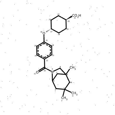 CC1(C)CC2CC(C)(CN2C(=O)c2ccc(O[C@H]3CC[C@H](C(=O)O)CC3)cc2)C1